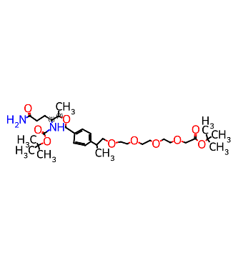 CC(COCCOCCOCCOCC(=O)OC(C)(C)C)c1ccc(CO[C@H](C)[C@H](CCC(N)=O)NC(=O)OC(C)(C)C)cc1